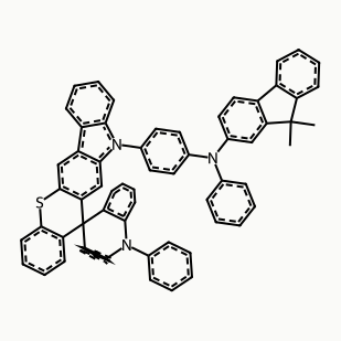 CC1(C)c2ccccc2-c2ccc(N(c3ccccc3)c3ccc(-n4c5ccccc5c5cc6c(cc54)C4(c5ccccc5S6)c5ccccc5N(c5ccccc5)c5ccccc54)cc3)cc21